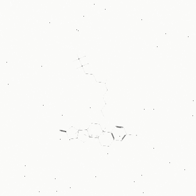 CN(CCCCC[C@H]1C[C@@]2(C)[C@@H](CC3OC(=O)C[C@@]32O)[C@@H]2CCc3cc(O)ccc3[C@@H]12)CCCC(F)(F)C(F)(F)F